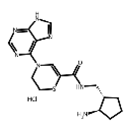 Cl.N[C@@H]1CCC[C@H]1CNC(=O)C1=CN(c2ncnc3[nH]cnc23)CCS1